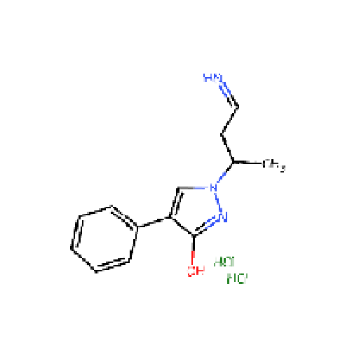 CC(CC=N)n1cc(-c2ccccc2)c(O)n1.Cl.Cl